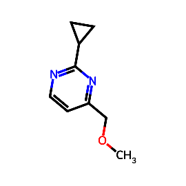 COCc1ccnc(C2CC2)n1